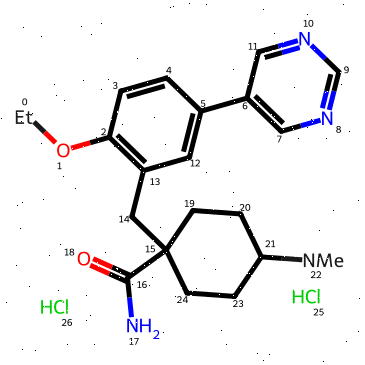 CCOc1ccc(-c2cncnc2)cc1CC1(C(N)=O)CCC(NC)CC1.Cl.Cl